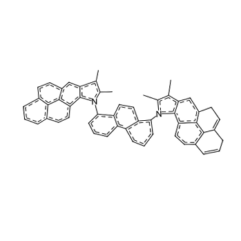 Cc1c(C)n(-c2cccc3c2ccc2c(-n4c(C)c(C)c5cc6ccc7cccc8ccc(c6c78)c54)cccc23)c2c1cc1c3c4c(ccc32)C=CCC4=CC1